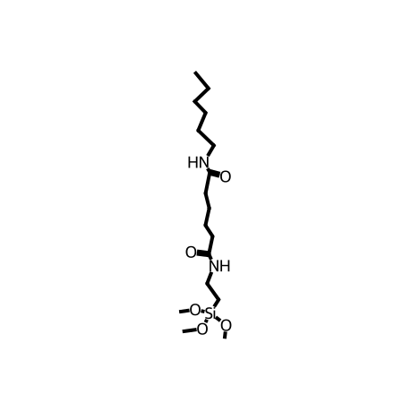 CCCCCCNC(=O)CCCCC(=O)NCC[Si](OC)(OC)OC